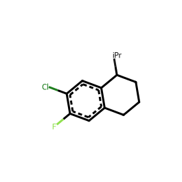 CC(C)C1CCCc2cc(F)c(Cl)cc21